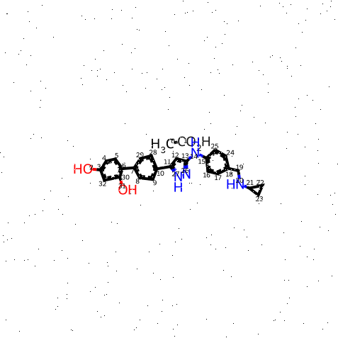 CC(=O)O.Oc1ccc(-c2ccc(-c3cc(Nc4ccc(CNC5CC5)cc4)n[nH]3)cc2)c(O)c1